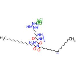 CCCCCCCC/C=C\CCCCCCCC(=O)N(C(=O)CCCCCCCCCCCCCCC)C(=O)C(N)C(N)C(=O)C(N)CCCNC(=N)N.Cl.Cl.Cl